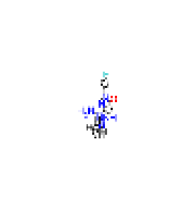 C[C@@H]1[C@@H](/N=C(/Nc2ccc3c(=O)n(CCc4ccc(F)cc4)cnc3c2)N2CC(N)C2)C[C@H]2C[C@@H]1C2(C)C